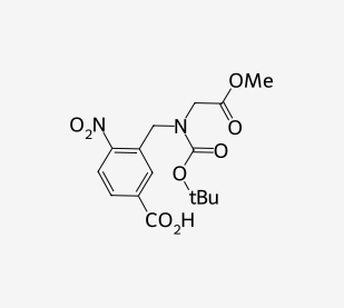 COC(=O)CN(Cc1cc(C(=O)O)ccc1[N+](=O)[O-])C(=O)OC(C)(C)C